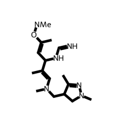 CNO/C(C)=C/C(NC=N)/C(C)=C/N(C)CC1CN(C)N=C1C